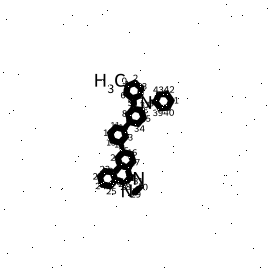 Cc1ccc2c(c1)c1cc(-c3cccc(-c4ccc5c(c4)c4ccccc4c4nccnc54)c3)ccc1n2-c1ccccc1